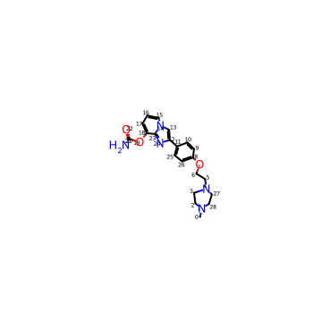 CN1CCN(CCOc2ccc(-c3cn4cccc(OC(N)=O)c4n3)cc2)CC1